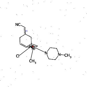 CN1CCN(C2=C3CN(C)CC34C/C(=C/C#N)CC=C4N(Cl)C=C2)CC1